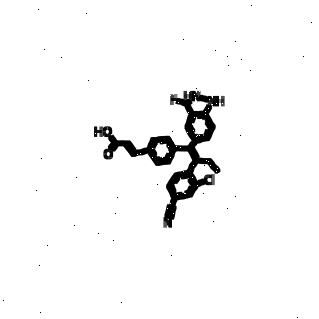 CC/C(=C(/c1ccc(/C=C/C(=O)O)cc1)c1ccc2c(c1)C(F)NN2)c1ccc(C#N)cc1Cl